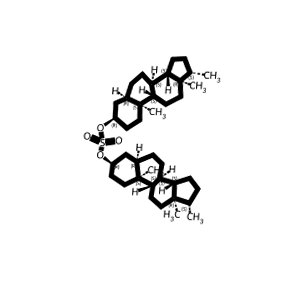 C[C@H]1CC[C@H]2[C@@H]3CC[C@@H]4C[C@H](OS(=O)(=O)O[C@@H]5CC[C@@]6(C)[C@H](CC[C@@H]7[C@@H]6CC[C@]6(C)[C@@H](C)CC[C@@H]76)C5)CC[C@]4(C)[C@H]3CC[C@]12C